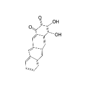 O=C1C(=O)c2cc3cc4ccccc4cc3cc2C(O)=C1O